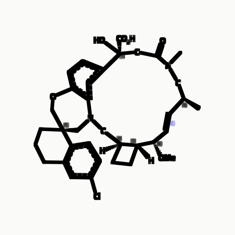 CO[C@H]1/C=C/[C@H](C)CN(C)C(=O)C[C@@](O)(C(=O)O)c2ccc3c(c2)N(C[C@@H]2CC[C@H]21)C[C@@]1(CCCc2cc(Cl)ccc21)CO3